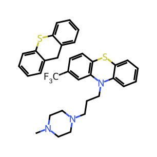 CN1CCN(CCCN2c3ccccc3Sc3ccc(C(F)(F)F)cc32)CC1.c1ccc2c(c1)Cc1ccccc1S2